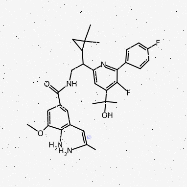 COc1cc(C(=O)NCC(c2cc(C(C)(C)O)c(F)c(-c3ccc(F)cc3)n2)C2CC2(C)C)cc(/C=C(/C)N)c1N